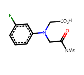 CNC(=O)CN(CC(=O)O)c1cccc(F)c1